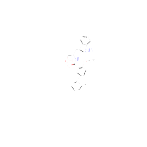 Cc1ccccc1-c1ccc(OC(C)C)c(C(=O)N[C@@H](CO)Cc2c[nH]c3ccccc23)c1